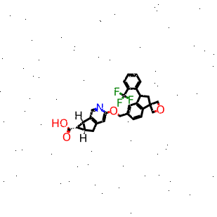 O=C(O)[C@H]1[C@@H]2Cc3cc(OCc4ccc5c(c4)C(c4ccccc4C(F)(F)F)CC54COC4)ncc3[C@@H]21